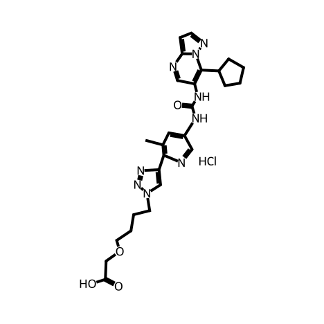 Cc1cc(NC(=O)Nc2cnc3ccnn3c2C2CCCC2)cnc1-c1cn(CCCCOCC(=O)O)nn1.Cl